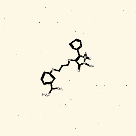 CC(C(=O)O)c1cccc(OCCCNC2=C(c3ccccc3)S(=O)(=O)N(C(C)(C)C)C2=O)c1